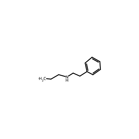 [CH2]CCNCCc1ccccc1